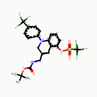 CC(C)(C)OC(=O)NCC1Cc2c(OS(=O)(=O)C(F)(F)F)cccc2N(c2ccc(C(F)(F)F)cc2)C1